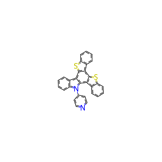 c1ccc2c(c1)sc1c2c2sc3ccccc3c2c2c1c1ccccc1n2-c1ccncc1